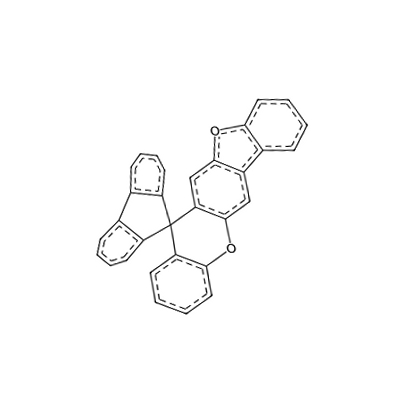 c1ccc2c(c1)Oc1cc3c(cc1C21c2ccccc2-c2ccccc21)oc1ccccc13